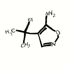 CCC(C)(C)c1cnoc1N